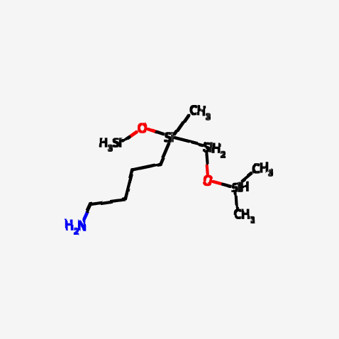 C[SiH](C)O[SiH2][Si](C)(CCCCN)O[SiH3]